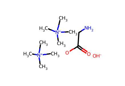 C[N+](C)(C)C.C[N+](C)(C)C.NCC(=O)[O-].[OH-]